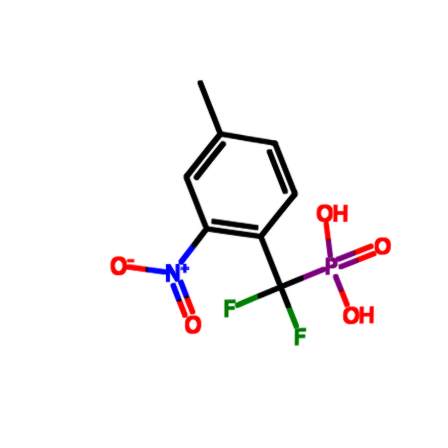 Cc1ccc(C(F)(F)P(=O)(O)O)c([N+](=O)[O-])c1